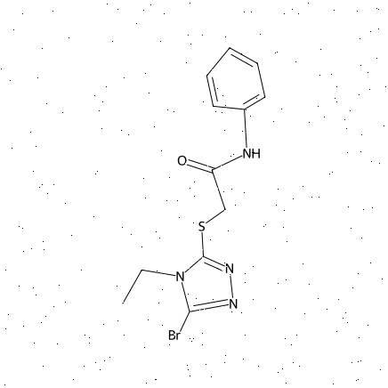 CCn1c(Br)nnc1SCC(=O)Nc1ccccc1